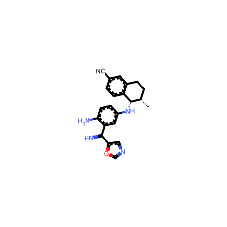 C[C@H]1CCc2cc(C#N)ccc2[C@H]1Nc1ccc(N)c(C(=N)c2cnco2)c1